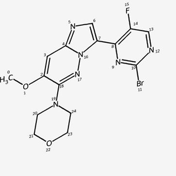 COc1cc2ncc(-c3nc(Br)ncc3F)n2nc1N1CCOCC1